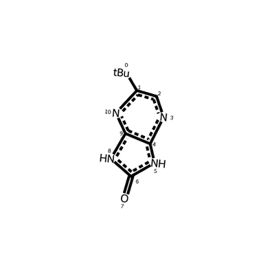 CC(C)(C)c1cnc2[nH]c(=O)[nH]c2n1